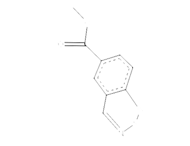 COC(=O)c1ccc2c(c1)C=NSO2